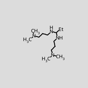 [CH2]CC(NCCCN(C)C)NCCCN(C)C